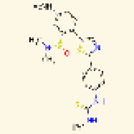 CC(=O)Nc1ccc(-c2cnc(-c3ccc(NC(=S)NC(C)C)cc3)s2)c([S+]([O-])N(C)C)c1